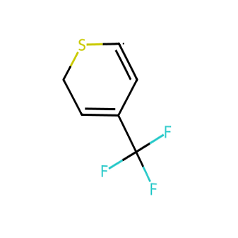 FC(F)(F)C1=CCS[C]=C1